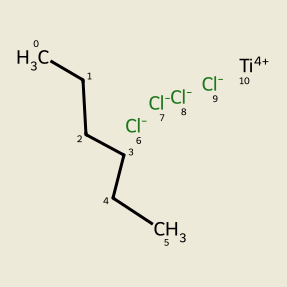 CCCCCC.[Cl-].[Cl-].[Cl-].[Cl-].[Ti+4]